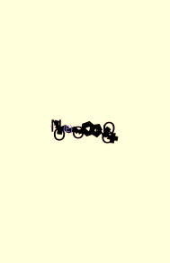 CN(C)C(=O)/C=C/COc1ccc2c(c1)CN(C(=O)OC(C)(C)C)C2